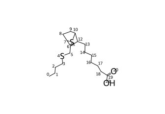 CCCCSCC1C2CCC(S2)C1CCCCCCC(=O)O